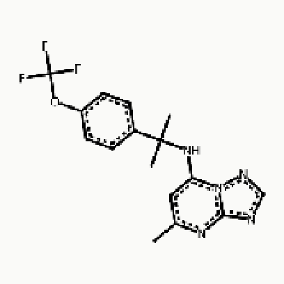 Cc1cc(NC(C)(C)c2ccc(OC(F)(F)F)cc2)n2ncnc2n1